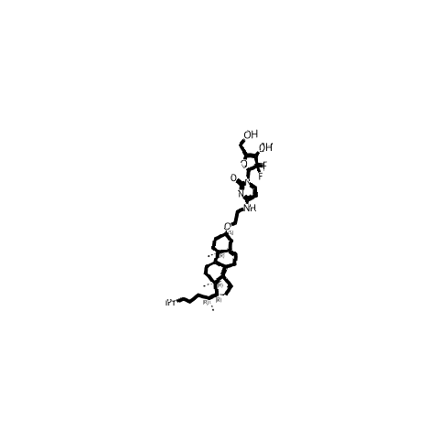 CC(C)CCC[C@@H](C)[C@H]1CCC2C3CC=C4C[C@@H](OCCNc5ccn(C6OC(CO)C(O)C6(F)F)c(=O)n5)CC[C@]4(C)C3CC[C@@]21C